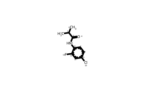 CC(C)C(=O)Nc1ccc(Cl)cc1F